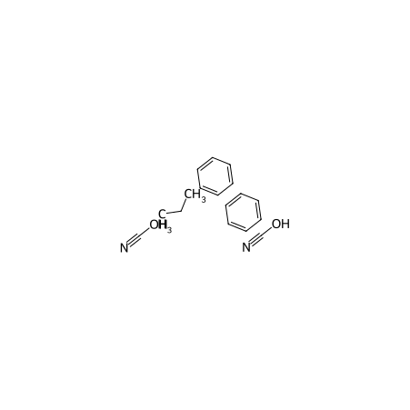 CCC.N#CO.N#CO.c1ccccc1.c1ccccc1